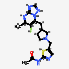 CC(=O)Nc1ncc(CN2CCC(Cc3c(F)c(C)nc4ncnn34)C2)s1